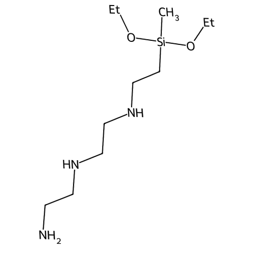 CCO[Si](C)(CCNCCNCCN)OCC